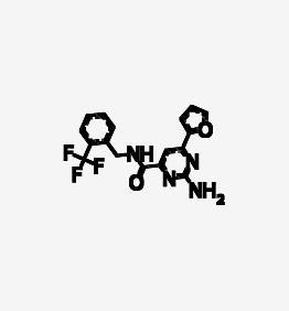 Nc1nc(C(=O)NCc2ccccc2C(F)(F)F)cc(-c2ccco2)n1